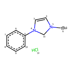 CC(C)(C)N1C=CN(c2ccccc2)C1.Cl